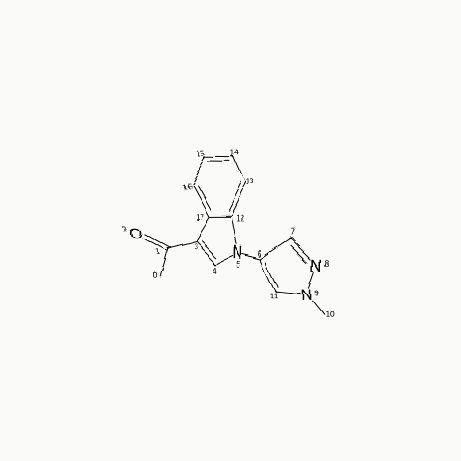 CC(=O)c1cn(-c2cnn(C)c2)c2ccccc12